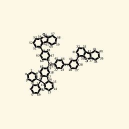 c1ccc(C2(c3ccccc3)c3ccccc3-c3cc(N(c4ccc(-c5cccc(-c6cccc7c6sc6ccccc67)c5)cc4)c4ccc(-c5cccc6sc7ccccc7c56)cc4)ccc32)cc1